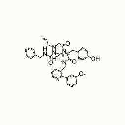 C=CCN1CC(=O)N2[C@@H](Cc3ccc(O)cc3)C(=O)N(Cc3cccnc3-c3cccc(OC)c3)C[C@@H]2N1C(=O)NCc1ccccc1